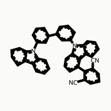 N#Cc1cccc(C#N)c1-c1cccc2c1c1ccccc1n2-c1cccc(-c2cccc(-n3c4ccccc4c4ccccc43)c2)c1